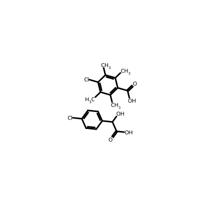 Cc1c(C)c(C(=O)O)c(C)c(C)c1Cl.O=C(O)C(O)c1ccc(Cl)cc1